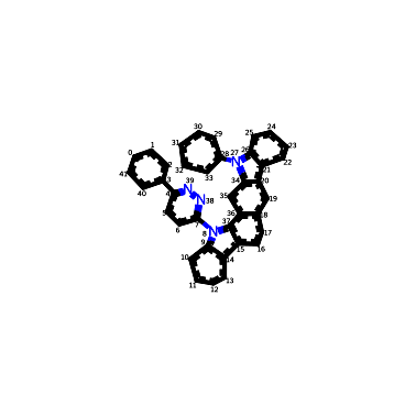 c1ccc(-c2ccc(-n3c4ccccc4c4ccc5cc6c7ccccc7n(-c7ccccc7)c6cc5c43)nn2)cc1